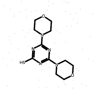 Sc1nc(N2CCOCC2)nc(N2CCOCC2)n1